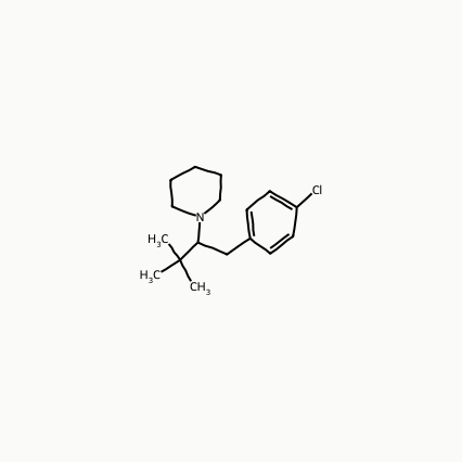 CC(C)(C)C(Cc1ccc(Cl)cc1)N1CCCCC1